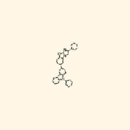 c1ccc(-c2cn3c(n2)oc2ccc(-c4ccc5c(c4)c4ccccc4n5-c4ccccc4)cc23)cc1